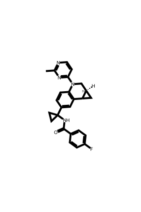 Cc1nccc(N2C[C@H]3CC3c3cc(C4(NC(=O)c5ccc(F)cc5)CC4)ccc32)n1